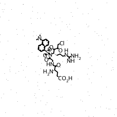 CN(C)c1cccc2c(S(=O)(=O)N(C(=O)CNC(=O)[C@@H](N)CCC(=O)O)[C@@H](CCCNC(=N)N)C(=O)C(=O)CCl)cccc12